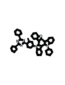 Cc1cc(-n2c3ccccc3c3c4c(c5ccccc5n4-c4ccccc4)c4oc5ccccc5c4c32)ccc1-c1nc(-c2ccccc2)nc(-c2ccccc2)n1